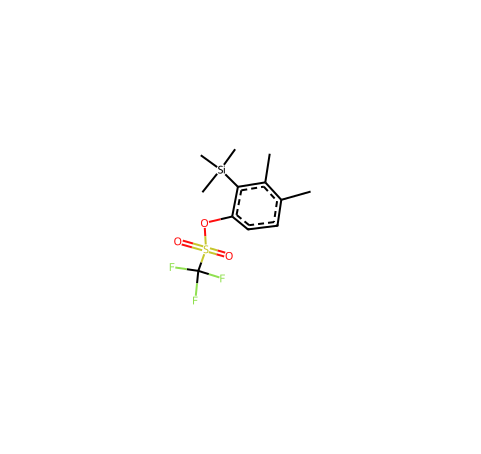 Cc1ccc(OS(=O)(=O)C(F)(F)F)c([Si](C)(C)C)c1C